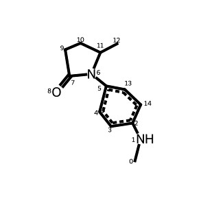 CNc1ccc(N2C(=O)CCC2C)cc1